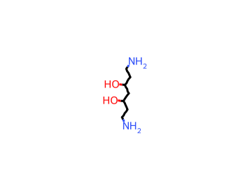 NCCC(O)CC(O)CCN